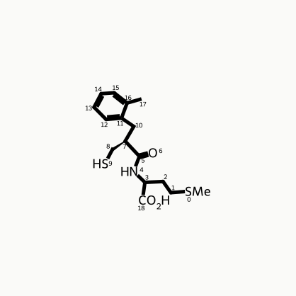 CSCCC(NC(=O)[C@@H](CS)Cc1ccccc1C)C(=O)O